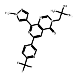 Cn1cc(-c2nc(-c3ccc(C(F)(F)F)nc3)cc3c(=O)n(CC(C)(C)O)cnc23)cn1